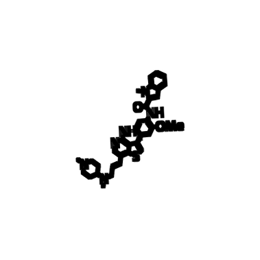 COc1cc(-c2csc3c(C=CCN(C)C4CCN(C)CC4)cnc(N)c23)ccc1NC(=O)c1cc2ccccc2n1C